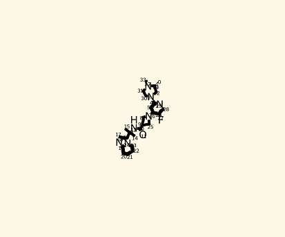 C[C@@H]1CN(c2cc(N3CC(C(=O)NC(C)(C)c4cnc5ccccn45)C3)c(F)cn2)CCN1C